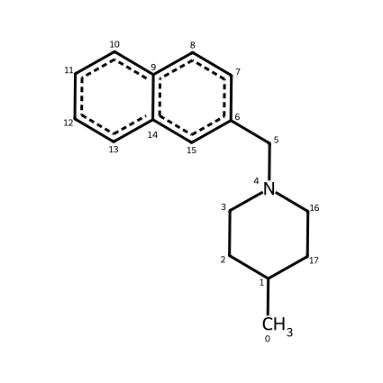 CC1CCN(Cc2ccc3ccccc3c2)CC1